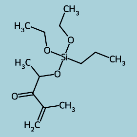 C=C(C)C(=O)C(C)O[Si](CCC)(OCC)OCC